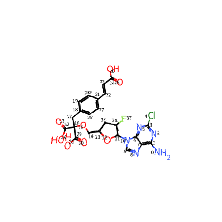 Nc1nc(Cl)nc2c1ncn2C1OC(COC(Cc2ccc(/C=C/C(=O)O)cc2)(C(=O)O)C(=O)O)CC1F